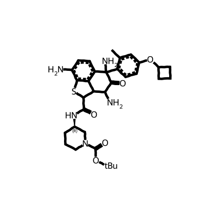 Cc1cc(OC2CCC2)ccc1C1(N)C(=O)C(N)C2c3c1ccc(N)c3SC2C(=O)N[C@@H]1CCCN(C(=O)OC(C)(C)C)C1